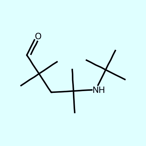 CC(C)(C=O)CC(C)(C)NC(C)(C)C